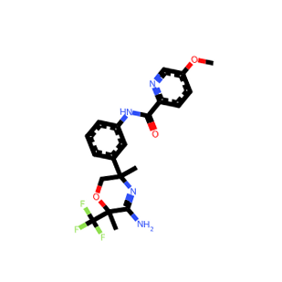 COc1ccc(C(=O)Nc2cccc(C3(C)COC(C)(C(F)(F)F)C(N)=N3)c2)nc1